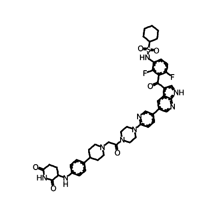 O=C1CCC(Nc2ccc(C3CCN(CC(=O)N4CCN(c5ccc(-c6cnc7[nH]cc(C(=O)c8c(F)ccc(NS(=O)(=O)C9CCCCC9)c8F)c7c6)cn5)CC4)CC3)cc2)C(=O)N1